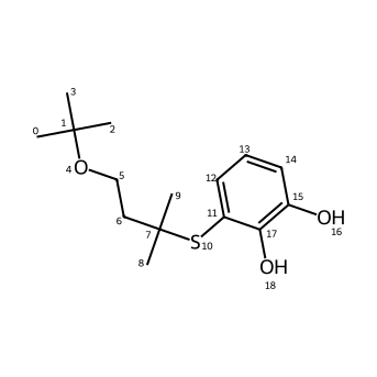 CC(C)(C)OCCC(C)(C)Sc1cccc(O)c1O